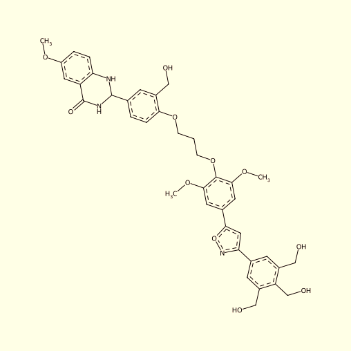 COc1ccc2c(c1)C(=O)NC(c1ccc(OCCCOc3c(OC)cc(-c4cc(-c5cc(CO)c(CO)c(CO)c5)no4)cc3OC)c(CO)c1)N2